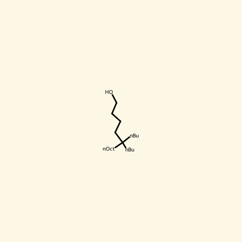 CCCCCCCCC(CCCC)(CCCC)CCCCO